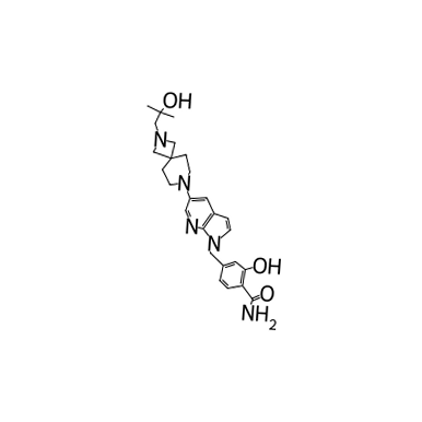 CC(C)(O)CN1CC2(CCN(c3cnc4c(ccn4Cc4ccc(C(N)=O)c(O)c4)c3)CC2)C1